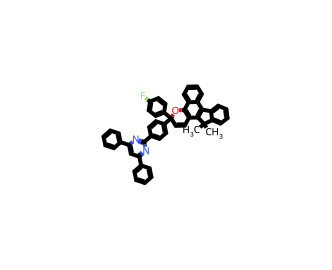 CC1(C)c2ccccc2-c2c1c1c(c3ccccc23)OC(c2ccc(F)cc2)(c2ccc(-c3nc(-c4ccccc4)cc(-c4ccccc4)n3)cc2)C=C1